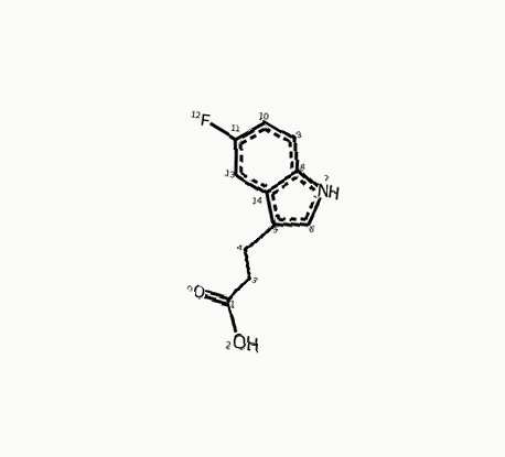 O=C(O)CCc1c[nH]c2ccc(F)cc12